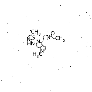 C=CC(=O)N1CC=C(c2nc(Nc3ncc(C)s3)cc3c2ccn3C)C1